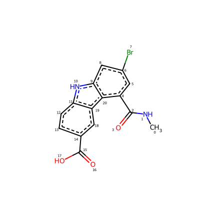 CNC(=O)c1cc(Br)cc2[nH]c3ccc(C(=O)O)cc3c12